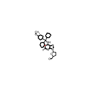 COc1ccc(C(Nc2nc(F)nc3c2ncn3C2CCC(C=O)O2)(c2ccccc2)c2ccccc2)cc1